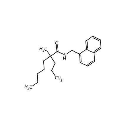 CCCCCC(C)(CCC)C(=O)NCc1cccc2ccccc12